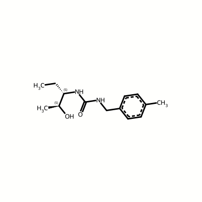 CC[C@H](NC(=O)NCc1ccc(C)cc1)[C@H](C)O